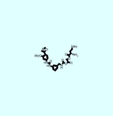 CCC(COC(=O)[C@H](N)CCSC)OC(=O)NCc1cccc(NC(=O)Nc2ccc(-c3cnco3)c(OC)c2)c1